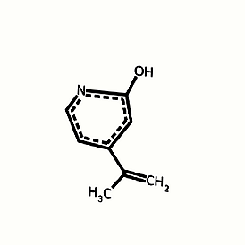 C=C(C)c1ccnc(O)c1